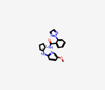 COc1ccc(N[C@H]2CCC[C@@H]2NC(=O)c2ccccc2-n2nccn2)nc1